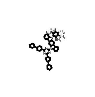 Bc1c(B)c(B)c(-n2c3ccccc3c3cc4c(cc32)c2ccccc2n4-c2nc(-c3ccc(-c4ccccc4)cc3)nc(-c3ccc(-c4ccccc4)cc3)n2)c(B)c1B